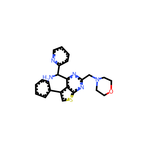 NC(c1ccccn1)c1nc(CN2CCOCC2)nc2scc(-c3ccccc3)c12